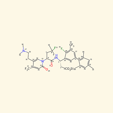 CCOC(=O)C[C@H](NC(=O)C(CC(C)(C)F)n1cc(CCN(C)C)c(C(F)(F)F)cc1=O)c1cc(-c2c(C)cc(C)cc2C)cc(C(F)(F)F)c1F